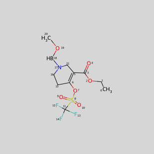 CCOC(=O)C1=C(OS(=O)(=O)C(F)(F)F)CCN(BOC)C1